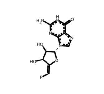 Nc1nc2c(ncn2[C@@H]2O/C(=C/F)C(O)C2O)c(=O)[nH]1